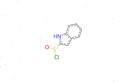 [O-][S+](Cl)c1cc2ccccc2[nH]1